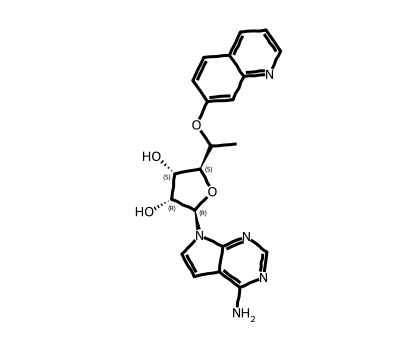 CC(Oc1ccc2cccnc2c1)[C@H]1O[C@@H](n2ccc3c(N)ncnc32)[C@H](O)[C@@H]1O